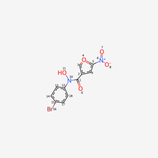 O=C(c1coc([N+](=O)[O-])c1)N(O)c1ccc(Br)cc1